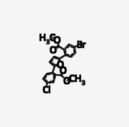 COC(=O)c1cc(Cl)ccc1-c1ccc(-c2ccc(Br)cc2C(=O)OC)o1